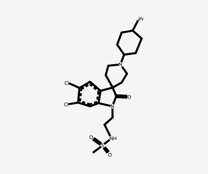 CC(C)C1CCC(N2CCC3(CC2)C(=O)N(CCNS(C)(=O)=O)c2cc(Cl)c(Cl)cc23)CC1